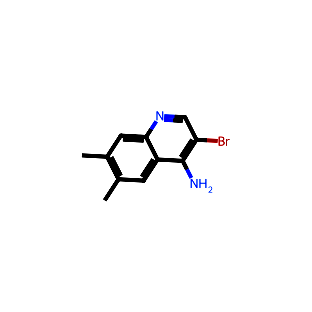 Cc1cc2ncc(Br)c(N)c2cc1C